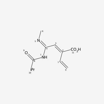 C=C/C(=C\C(=N/C)NC(=O)C(C)C)C(=O)O